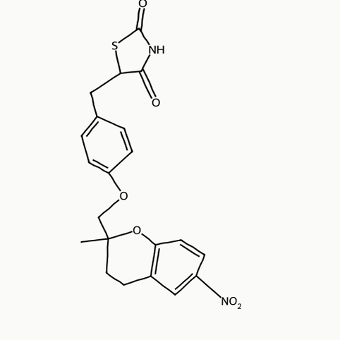 CC1(COc2ccc(CC3SC(=O)NC3=O)cc2)CCc2cc([N+](=O)[O-])ccc2O1